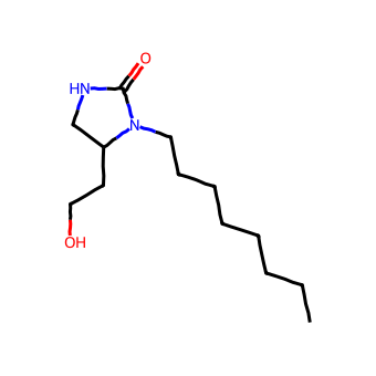 CCCCCCCCN1C(=O)NCC1CCO